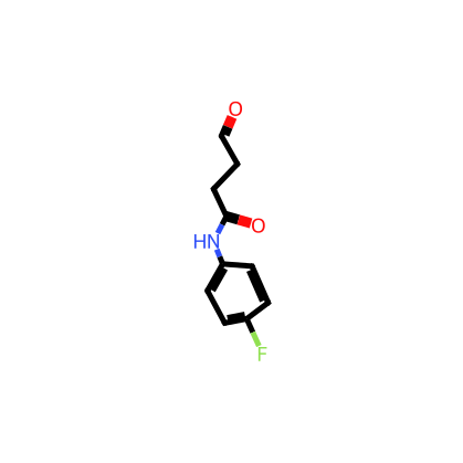 O=CCCC(=O)Nc1ccc(F)cc1